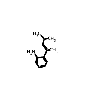 CC(=CC(C)C)c1ccccc1N